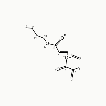 C=C.C=C(C)C(=O)O.C=CC(=O)OCCCC